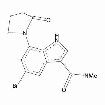 CNC(=O)c1c[nH]c2c(N3CCCC3=O)cc(Br)cc12